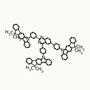 CC1(C)c2ccccc2-c2cc3c(cc21)c1ccccc1n3-c1ccc(-c2ccc3nc(-c4cccc(-n5c6ccccc6c6cc7c(cc65)-c5ccccc5C7(C)C)c4)nc(-c4ccc(-n5c6ccccc6c6cc7c(cc65)-c5ccccc5C7(C)C)cc4)c3c2)cc1